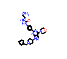 NCCNC(=O)Nc1ccc(-c2nc(N3CCOCC3)c3cnn(C4CCN(Cc5ccccc5)CC4)c3n2)cc1